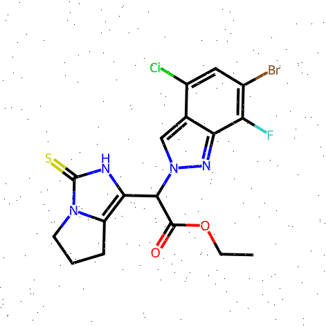 CCOC(=O)C(c1[nH]c(=S)n2c1CCC2)n1cc2c(Cl)cc(Br)c(F)c2n1